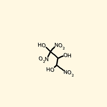 O=[N+]([O-])C(O)C(O)C(O)([N+](=O)[O-])[N+](=O)[O-]